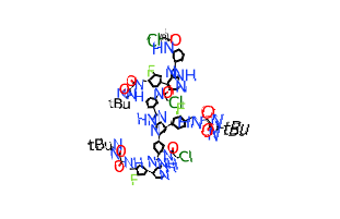 C[C@@H](Cl)C(=O)Nc1cccc(-c2nc3c(-c4cc(F)c(CNC(=O)c5nc(C(C)(C)C)no5)cc4N(C(=O)CCl)c4cccc(-c5nc6c(-c7ccc(CNC(=O)c8nc(C(C)(C)C)no8)c(F)c7)cc(-c7ccc(-c8nc9c(-c%10ccc(CNC(=O)c%11nc(C(C)(C)C)no%11)c(F)c%10)ccnc9[nH]8)c(NC(=O)CCl)c7)nc6[nH]5)c4)ccnc3[nH]2)c1